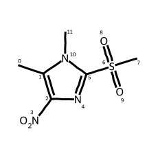 Cc1c([N+](=O)[O-])nc(S(C)(=O)=O)n1C